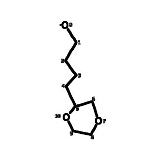 [O]CCCCC1COCCO1